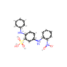 O=[N+]([O-])c1c[c]ccc1Nc1ccc(Nc2ccccc2)c(S(=O)(=O)O)c1